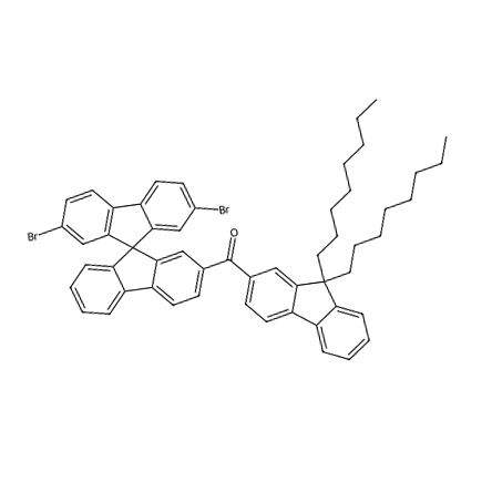 CCCCCCCCC1(CCCCCCCC)c2ccccc2-c2ccc(C(=O)c3ccc4c(c3)C3(c5ccccc5-4)c4cc(Br)ccc4-c4ccc(Br)cc43)cc21